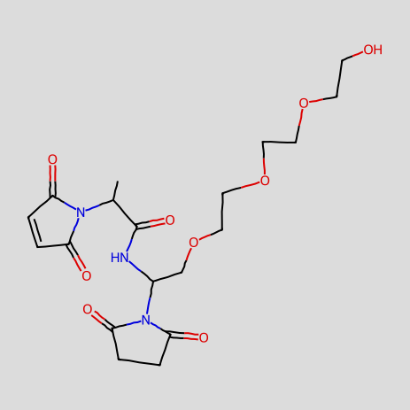 CC(C(=O)NC(COCCOCCOCCO)N1C(=O)CCC1=O)N1C(=O)C=CC1=O